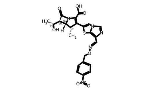 C[C@@H](O)[C@H]1C(=O)N2C(C(=O)O)=C(c3cn4cnc(C=NOCc5ccc([N+](=O)[O-])cc5)c4s3)[C@H](C)[C@H]12